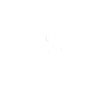 Cl.[2H]C([2H])([2H])NC1CC1